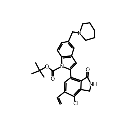 C=Cc1cc(-c2cc3cc(CN4CCCCC4)ccc3n2C(=O)OC(C)(C)C)c2c(c1Cl)CNC2=O